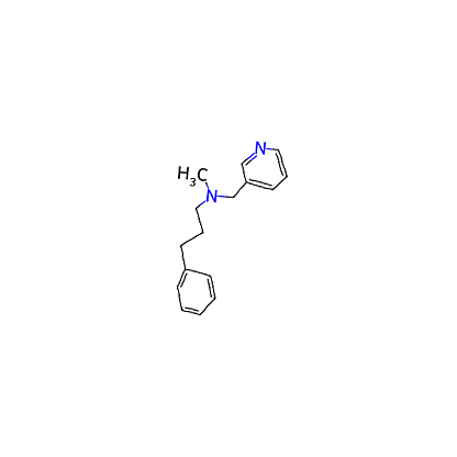 CN(CCCc1ccccc1)Cc1cccnc1